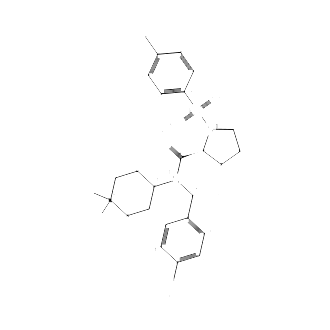 Cc1ccc(S(=O)(=O)N2CCC[C@H]2C(=O)N(C2CCC(F)(F)CC2)[C@H](C)c2ccc(Cl)cc2)cc1